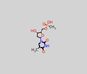 Cc1cn([C@H]2C[C@@H](O)[C@@H](COP(C)(=O)O)O2)c(=O)[nH]c1=O